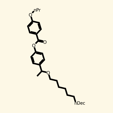 CCCCCCCCCCCCCCCCOC(C)c1ccc(OC(=O)c2ccc(OCCC)cc2)cc1